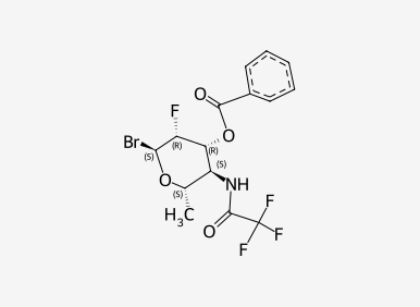 C[C@@H]1O[C@@H](Br)[C@H](F)[C@H](OC(=O)c2ccccc2)[C@H]1NC(=O)C(F)(F)F